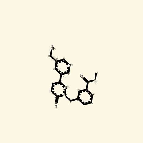 COC(=O)c1cccc(Cn2nc(-c3cncc(CO)c3)ccc2=O)c1